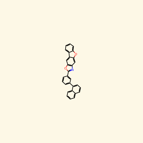 c1cc(-c2nc3cc4oc5ccccc5c4cc3o2)cc(-c2cccc3ccccc23)c1